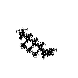 COc1cc2nc3c(C#N)c(C)c(N=Nc4cc(NC(C)=O)c(N=Nc5cc(NC(C)=O)c(N=Nc6cc(NC(C)=O)c(N=Nc7cc(S(=O)(=O)O)c(Cl)cc7C#N)cc6SCCCS(=O)(=O)O)cc5SCCCS(=O)(=O)O)cc4OCCCS(=O)(=O)O)c(O)n3c2cc1S(=O)(=O)O